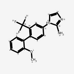 COc1ccccc1-c1ccc([SH]2C=CN=C2N)cc1C(F)(F)F